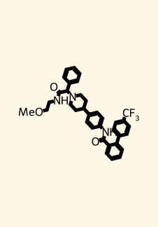 COCCNC(=O)C(c1ccccc1)N1CCC(c2ccc(NC(=O)c3ccccc3-c3ccc(C(F)(F)F)cc3)cc2)CC1